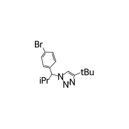 CC(C)C(c1ccc(Br)cc1)n1cc(C(C)(C)C)nn1